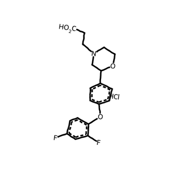 Cl.O=C(O)CCN1CCOC(c2ccc(Oc3ccc(F)cc3F)cc2)C1